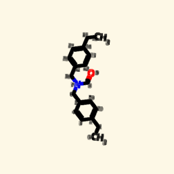 CCc1ccc(CN(C=O)Cc2ccc(CC)cc2)cc1